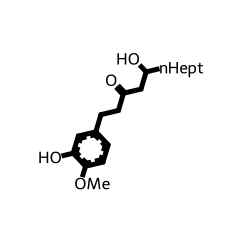 CCCCCCCC(O)CC(=O)CCc1ccc(OC)c(O)c1